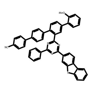 COc1ccccc1-c1ccc(-c2ccc(-c3ccc(C#N)cc3)cc2)c(-c2nc(-c3ccccc3)nc(-c3ccc4c(c3)sc3ccccc34)n2)c1